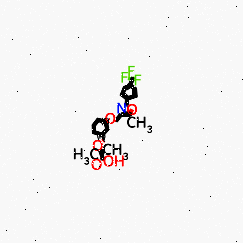 Cc1oc(-c2ccc(C(F)(F)F)cc2)nc1CO[C@H]1CCC[C@@H](COC(C)(C)C(=O)O)C1